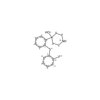 OC1(c2ccccc2Sc2ccccc2F)CCNCC1